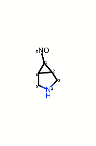 O=NC1C2CNCC21